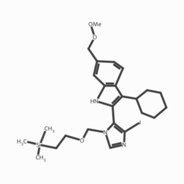 COOCc1ccc2c(C3CCCCC3)c(-c3c(I)ncn3COCC[Si](C)(C)C)[nH]c2c1